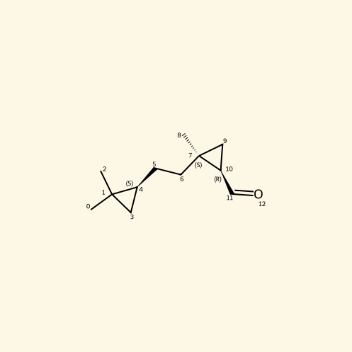 CC1(C)C[C@@H]1CC[C@@]1(C)C[C@H]1C=O